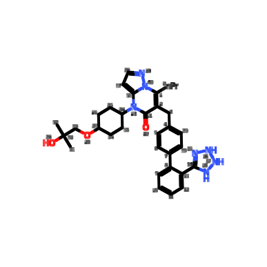 CCCc1c(Cc2ccc(-c3ccccc3C3=NNNN3)cc2)c(=O)n(C2CCC(OCC(C)(C)O)CC2)c2ccnn12